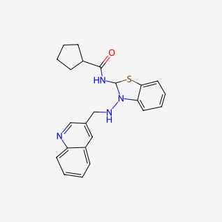 O=C(NC1Sc2ccccc2N1NCc1cnc2ccccc2c1)C1CCCC1